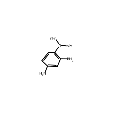 Bc1cc(N)ccc1N(CCC)CCC